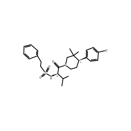 CC(C)[C@@H](NS(=O)(=O)CCc1ccccc1)C(=O)N1CC[C@H](c2ccc(Cl)cc2)C(C)(C)C1